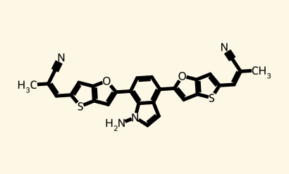 C/C(C#N)=C/c1cc2oc(-c3ccc(-c4cc5sc(/C=C(/C)C#N)cc5o4)c4c3ccn4N)cc2s1